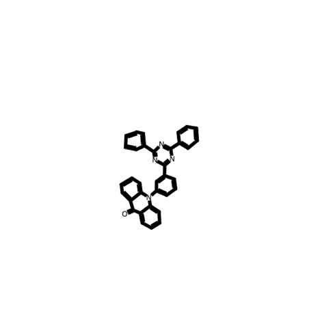 O=c1c2ccccc2n(-c2cccc(-c3nc(-c4ccccc4)nc(-c4ccccc4)n3)c2)c2ccccc12